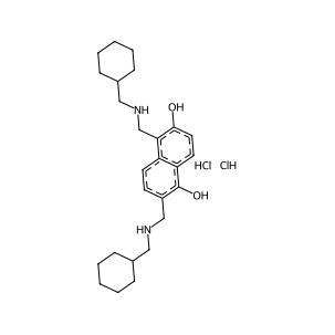 Cl.Cl.Oc1ccc2c(O)c(CNCC3CCCCC3)ccc2c1CNCC1CCCCC1